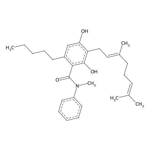 CCCCCc1cc(O)c(C/C=C(\C)CCC=C(C)C)c(O)c1C(=O)N(C)c1ccccc1